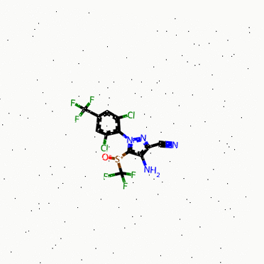 N#Cc1nn(-c2c(Cl)cc(C(F)(F)F)cc2Cl)c([S+]([O-])C(F)(F)F)c1N